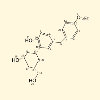 CCOc1ccc(Cc2ccc(O)c([C@H]3C[C@@H](O)C[C@@H](CO)S3)c2)cc1